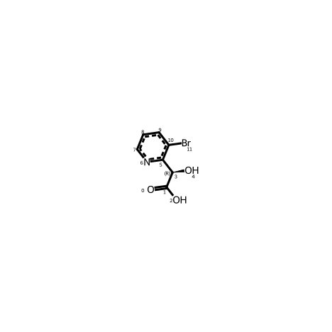 O=C(O)[C@H](O)c1ncccc1Br